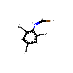 CCc1cc(C(C)(C)C)cc(CC)c1N=C=S